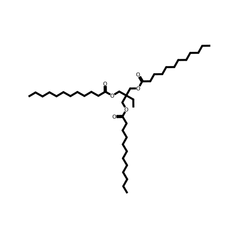 CCCCCCCCCCCC(=O)OCC(CC)(COC(=O)CCCCCCCCCCC)COC(=O)CCCCCCCCCCC